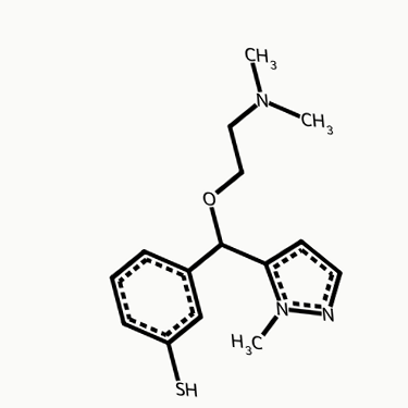 CN(C)CCOC(c1cccc(S)c1)c1ccnn1C